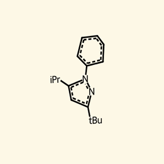 CC(C)c1cc(C(C)(C)C)nn1-c1ccccc1